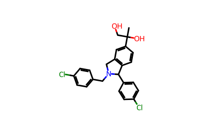 CC(O)(CO)c1ccc2c(c1)CN(Cc1ccc(Cl)cc1)C2c1ccc(Cl)cc1